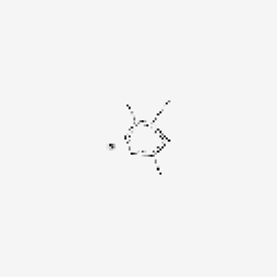 Cc1ccc(C)c(C)c1.[Ru]